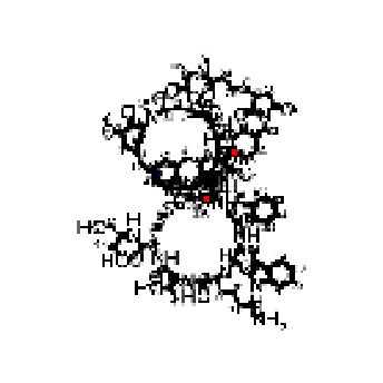 COc1cc2cc(c1Cl)N(C)C(=O)C[C@H](OC(=O)[C@H](C)N(C)C(=O)CCSC1CC(=O)N(CC3CCC(C(=O)N[C@H](Cc4ccccc4)C(=O)N[C@H]4CSSC[C@@H](C(=O)N[C@H](CO)[C@@H](C)O)NC(=O)[C@H]([C@@H](C)O)NC(=O)[C@H](CCCCN)NC(=O)[C@@H](Cc5c[nH]c6ccccc56)NC(=O)[C@H](Cc5ccccc5)NC4=O)CC3)C1=O)[C@]1(C)O[C@H]1[C@H](C)[C@@H]1C[C@@](O)(NC(=O)O1)[C@H](OC)CC/C=C(\C)C2